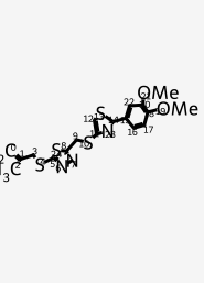 C=C(C)CSc1nnc(CSc2csc(-c3ccc(OC)c(OC)c3)n2)s1